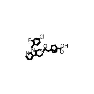 O=C(CC12CCC(C(=O)O)(CC1)C2)N1CCc2c(n(Cc3ccc(Cl)cc3F)c3ncccc23)C1